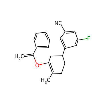 C=C(OC1=C(C)CCC(c2cc(F)cc(C#N)c2)C1)c1ccccc1